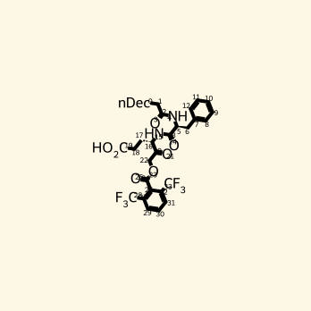 CCCCCCCCCCCC(=O)N[C@@H](Cc1ccccc1)C(=O)N[C@@H](CCC(=O)O)C(=O)COC(=O)c1c(C(F)(F)F)cccc1C(F)(F)F